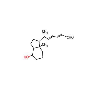 C[C@H](/C=C/C=C/C=O)C1CCC2C(O)CCCC21C